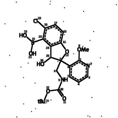 COc1ncccc1C1(CNC(=O)OC(C)(C)C)Oc2ccc(Cl)c(B(O)O)c2C1O